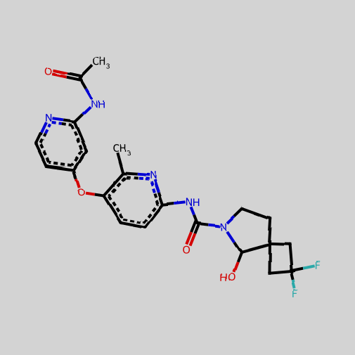 CC(=O)Nc1cc(Oc2ccc(NC(=O)N3CCC4(CC(F)(F)C4)C3O)nc2C)ccn1